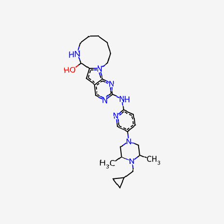 CC1CN(c2ccc(Nc3ncc4cc5n(c4n3)CCCCCCNC5O)nc2)CC(C)N1CC1CC1